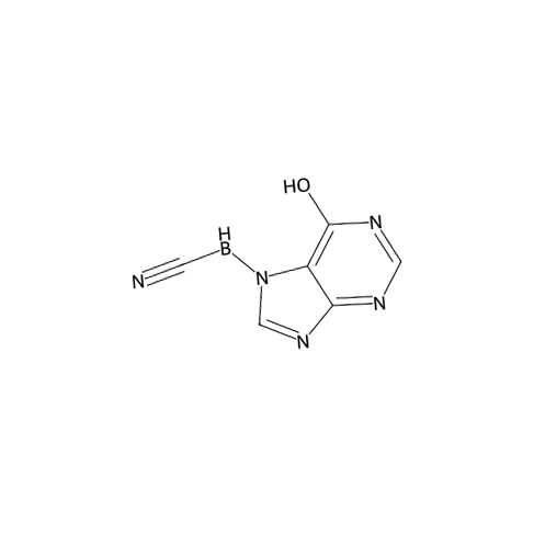 N#CBn1cnc2ncnc(O)c21